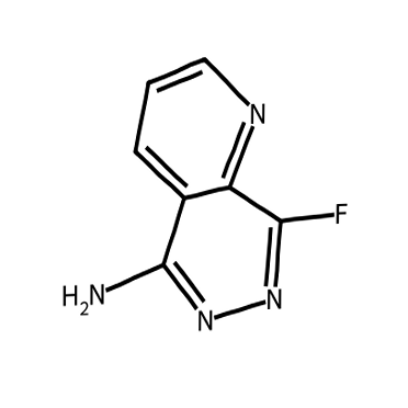 Nc1nnc(F)c2ncccc12